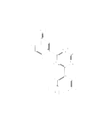 C=C/C=C(\C=C/C)c1ncnc(C(/C=C\C)=C/C)n1